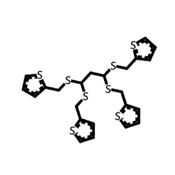 c1csc(CSC(CC(SCc2cccs2)SCc2cccs2)SCc2cccs2)c1